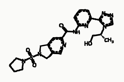 C[C@H](CO)n1cnnc1-c1cccc(NC(=O)c2cc3c(cn2)CN(S(=O)(=O)N2CCCC2)C3)n1